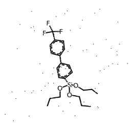 CCCO[Si](OCCC)(OCCC)c1ccc(-c2ccc(C(F)(F)F)cc2)cc1